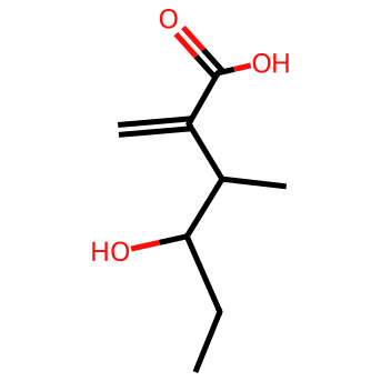 C=C(C(=O)O)C(C)C(O)CC